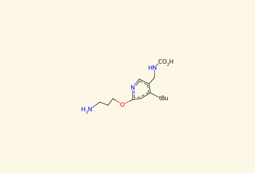 CC(C)(C)c1cc(OCCCN)ncc1CNC(=O)O